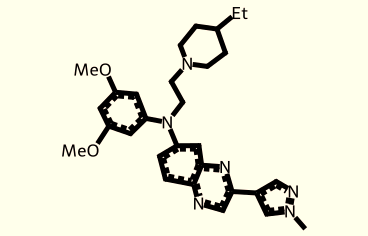 CCC1CCN(CCN(c2cc(OC)cc(OC)c2)c2ccc3ncc(-c4cnn(C)c4)nc3c2)CC1